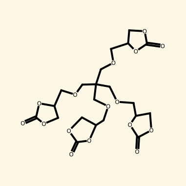 O=C1OCC(COCC(COCC2COC(=O)O2)(COCC2COC(=O)O2)COCC2COC(=O)O2)O1